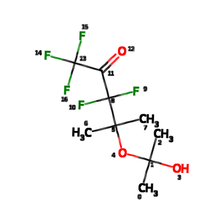 CC(C)(O)OC(C)(C)C(F)(F)C(=O)C(F)(F)F